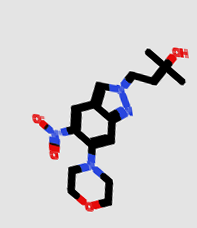 CC(C)(O)CCn1cc2cc([N+](=O)[O-])c(N3CCOCC3)cc2n1